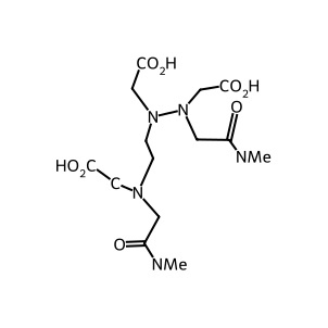 CNC(=O)CN(CCN(CC(=O)O)N(CC(=O)O)CC(=O)NC)CC(=O)O